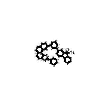 CC1(C)c2ccccc2-c2ccc(-c3cccc(-c4ccc5ccc6ccc7nc(-c8ccccc8)sc7c6c5c4)c3)cc21